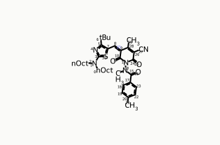 CCCCCCCCN(CCCCCCCC)c1nc(C(C)(C)C)c(/C=C2\C(=O)N(N(C)C(=O)c3ccc(C)cc3)C(=O)C(C#N)=C2C)s1